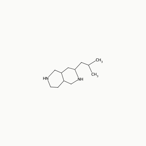 CC(C)CC1CC2CNCCC2CN1